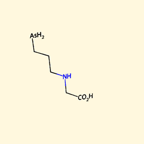 O=C(O)CNCCC[AsH2]